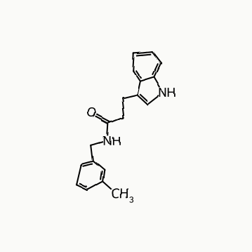 Cc1cccc(CNC(=O)CCc2c[nH]c3ccccc23)c1